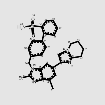 CCc1nc2c(C)cc(-c3cn4c(n3)CCCC4)cc2n1Cc1ccc(-c2ccccc2S(N)(=O)=O)cc1